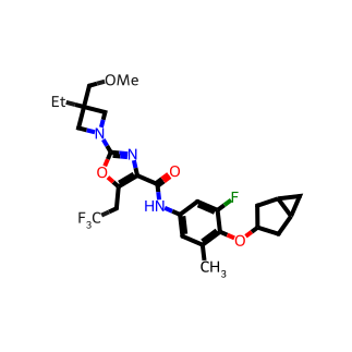 CCC1(COC)CN(c2nc(C(=O)Nc3cc(C)c(OC4CC5CC5C4)c(F)c3)c(CC(F)(F)F)o2)C1